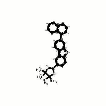 CC1(C)OB(c2ccc3sc4cc(-c5cccc6ccccc56)ccc4c3c2)OC1(C)C